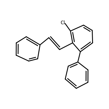 Clc1cccc(-c2ccccc2)c1/C=C/c1ccccc1